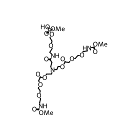 COC(=O)NCCOCCOCC(=O)OCCN(CCOC(=O)COCCOCCNC(=O)OC)CCC(=O)NCCOCCOP(=O)(O)OC